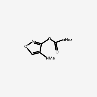 CCCCCCC(=O)Oc1nocc1NC